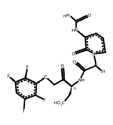 CCCC(=O)Nc1cccn(C(CC)C(=O)N[C@@H](CC(=O)O)C(=O)COc2c(F)c(F)cc(F)c2F)c1=O